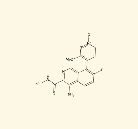 CCCNC(=O)c1ncc2c(-c3cc[n+]([O-])nc3OC)c(F)ccc2c1N